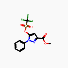 COC(=O)c1cc(OS(=O)(=O)C(F)(F)F)n(-c2ccccc2)n1